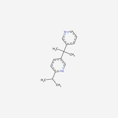 CC(C)c1ccc(C(C)(C)c2cccnc2)cn1